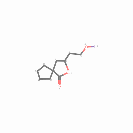 O=C1OC(CCOI)CC12CCCC2